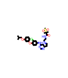 CC(C)COc1cccc(Oc2ccc(NC3=NC=NC4C=CN(CCNC(=O)C(C)(C)S(C)(=O)=O)C34)cc2Cl)c1